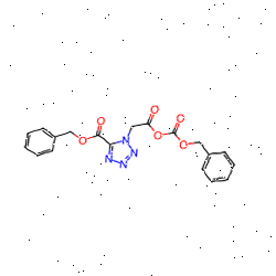 O=C(Cn1nnnc1C(=O)OCc1ccccc1)OC(=O)OCc1ccccc1